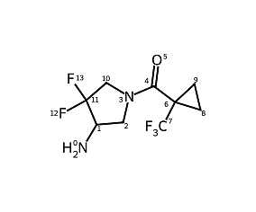 NC1CN(C(=O)C2(C(F)(F)F)CC2)CC1(F)F